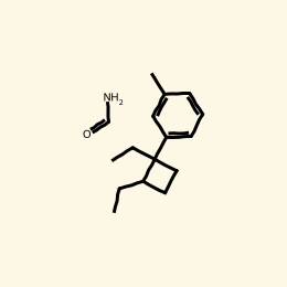 CCC1CCC1(CC)c1cccc(C)c1.NC=O